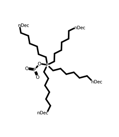 CCCCCCCCCCCCCCCCP(CCCCCCCCCCCCCCCC)(CCCCCCCCCCCCCCCC)(CCCCCCCCCCCCCCCC)OP(=O)=O